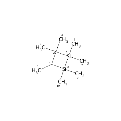 CC1C(C)(C)[Si](C)(C)[Si]1(C)C